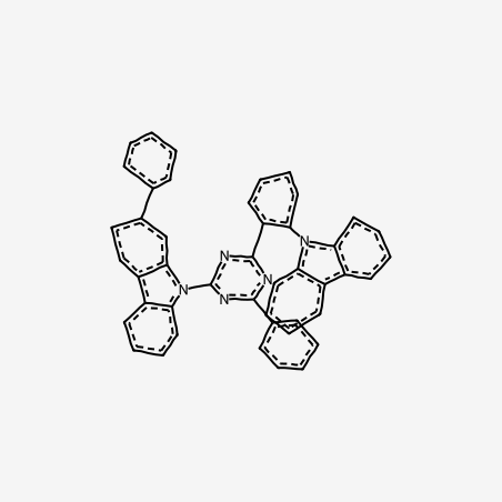 c1ccc(-c2ccc3c4ccccc4n(-c4nc(-c5ccccc5)nc(-c5ccccc5-n5c6ccccc6c6ccccc65)n4)c3c2)cc1